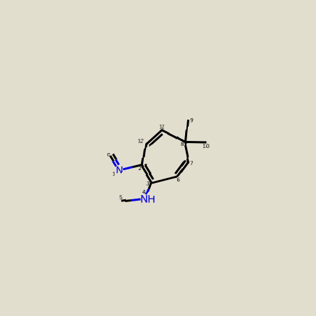 C=NC1=C(NC)C=CC(C)(C)C=C1